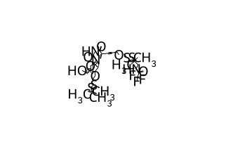 CC(C)(C)SSCOC1C[C@H](n2cc(C#CCOCSSC(C)(C)CNC(=O)C(F)(F)F)c(=O)[nH]c2=O)O[C@@H]1CO